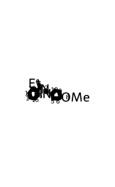 CCC(=NNc1ccc(OC)cc1)c1ccccc1